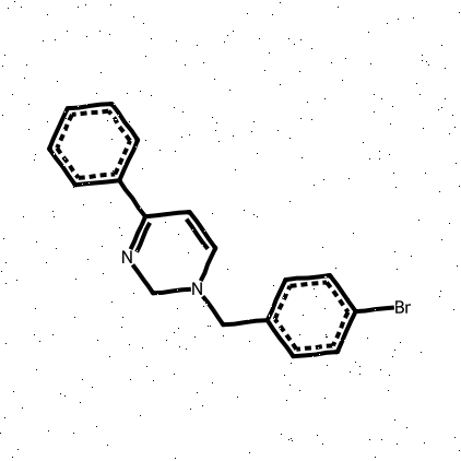 Brc1ccc(CN2C=CC(c3ccccc3)=NC2)cc1